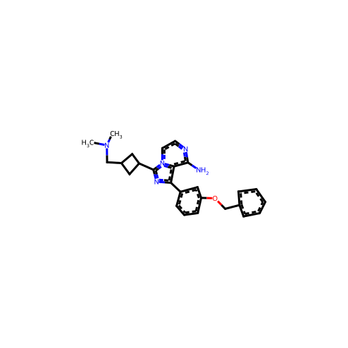 CN(C)CC1CC(c2nc(-c3cccc(OCc4ccccc4)c3)c3c(N)nccn23)C1